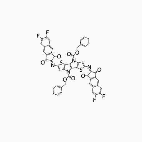 O=C(OCc1ccccc1)n1c2cc(N=c3c(=O)c4cc5cc(F)c(F)cc5cc4c3=O)sc2c2c1c1sc(N=c3c(=O)c4cc5cc(F)c(F)cc5cc4c3=O)cc1n2C(=O)OCc1ccccc1